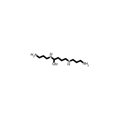 NCCCNCCCC(O)NCCCN